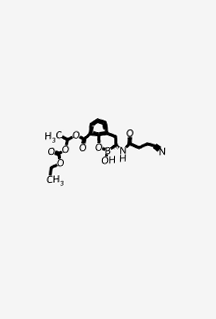 CCOC(=O)OC(C)OC(=O)c1cccc2c1OB(O)[C@@H](NC(=O)CCC#N)C2